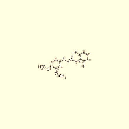 COc1ccc(CCNCc2c(F)cccc2F)cc1OC